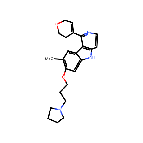 COc1cc2c(cc1OCCCN1CCCC1)[nH]c1ccnc(C3=CCOCC3)c12